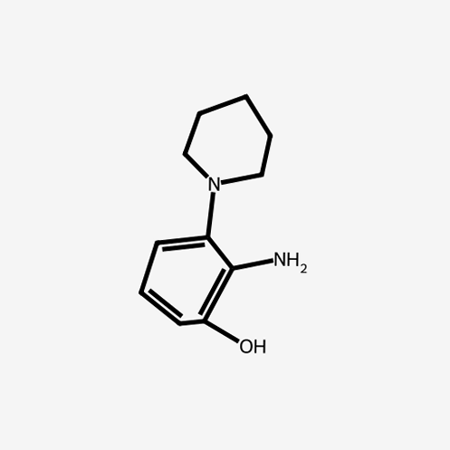 Nc1c(O)cccc1N1CCCCC1